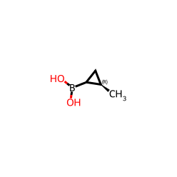 C[C@@H]1CC1B(O)O